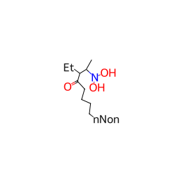 CCCCCCCCCCCCCC(=O)C(CC)C(C)N(O)O